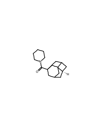 O=C(N1CCCCC1)C12CC3C[C@@H]4CC(C1)C4(C3)C2